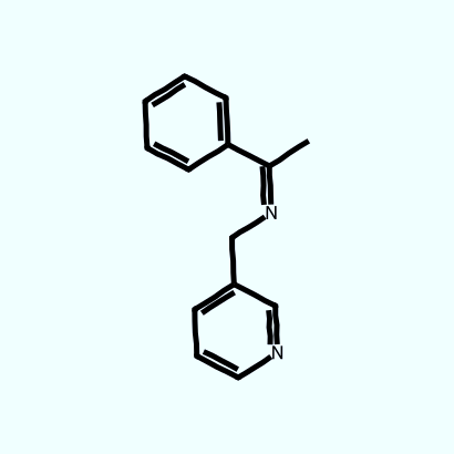 C/C(=N/Cc1cccnc1)c1ccccc1